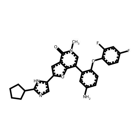 Cn1cc(-c2cc(N)ccc2Oc2ccc(F)cc2F)c2oc(-c3cnc(C4CCCC4)[nH]3)cc2c1=O